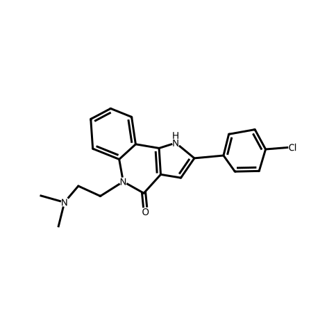 CN(C)CCn1c(=O)c2cc(-c3ccc(Cl)cc3)[nH]c2c2ccccc21